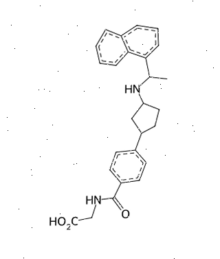 CC(NC1CCC(c2ccc(C(=O)NCC(=O)O)cc2)C1)c1cccc2ccccc12